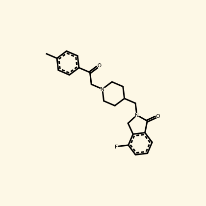 Cc1ccc(C(=O)CN2CCC(CN3Cc4c(F)cccc4C3=O)CC2)cc1